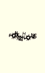 Cc1nc(-c2ccc(CNc3cc(-c4cnc5cc(F)ccn45)ncn3)cc2)co1